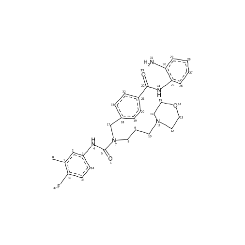 Cc1cc(NC(=O)N(CCCN2CCOCC2)Cc2ccc(C(=O)Nc3ccccc3N)cc2)ccc1F